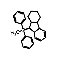 C[Si](c1ccccc1)(c1ccccc1)C1C2C=CC=CC2C2CCCCC21